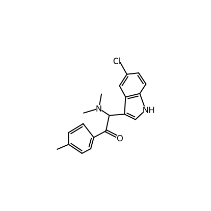 Cc1ccc(C(=O)C(c2c[nH]c3ccc(Cl)cc23)N(C)C)cc1